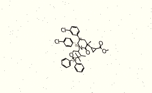 CCC(CO[Si](c1ccccc1)(c1ccccc1)C(C)(C)C)N1C(=O)[C@@](C)(C2CC2C(=O)OC)C[C@H](c2cccc(Cl)c2)[C@H]1c1ccc(Cl)cc1